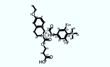 CCOc1ccc2c(c1)CCN(C(=O)OCCC(=O)O)[C@H]2C(=O)Nc1cc(F)c(S(C)(C)C)c(F)c1